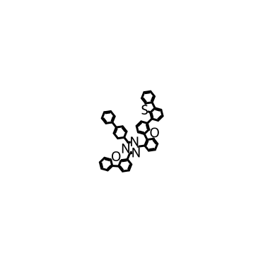 C1=CC(c2nc(-c3cccc4c3oc3ccccc34)nc(-c3cccc4oc5c(-c6cccc7c6sc6ccccc67)cccc5c34)n2)CC=C1c1ccccc1